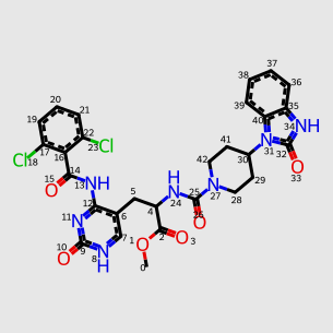 COC(=O)C(Cc1c[nH]c(=O)nc1NC(=O)c1c(Cl)cccc1Cl)NC(=O)N1CCC(n2c(=O)[nH]c3ccccc32)CC1